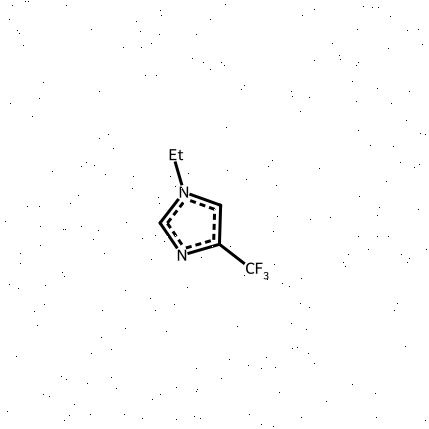 CCn1cnc(C(F)(F)F)c1